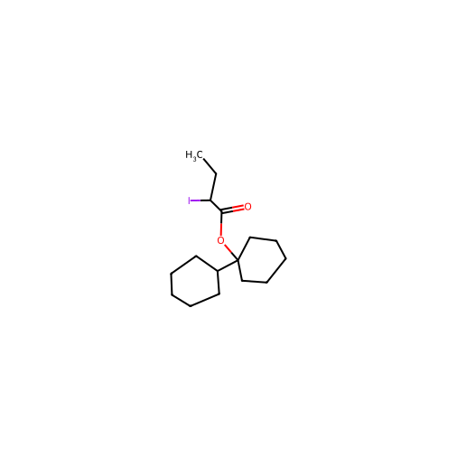 CCC(I)C(=O)OC1(C2CCCCC2)CCCCC1